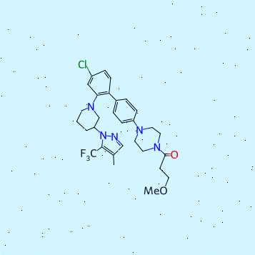 COCCC(=O)N1CCN(c2ccc(-c3ccc(Cl)cc3N3CCCC(n4ncc(C)c4C(F)(F)F)C3)cc2)CC1